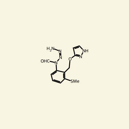 CSc1cccc(N(C=O)/N=N\N)c1COc1cc[nH]n1